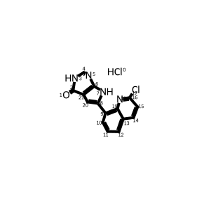 Cl.O=c1[nH]cnc2[nH]c(-c3cccc4ccc(Cl)nc34)cc12